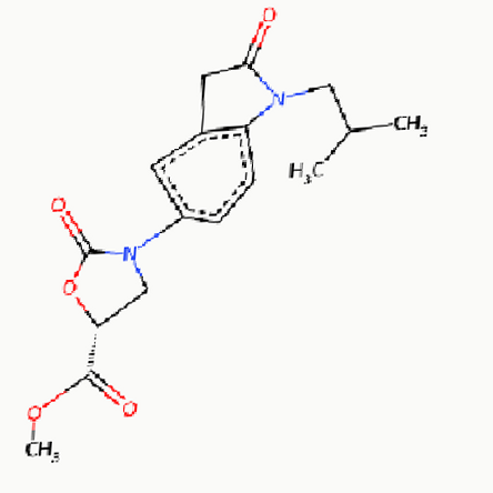 COC(=O)[C@H]1CN(c2ccc3c(c2)CC(=O)N3CC(C)C)C(=O)O1